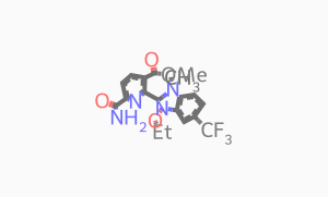 CCON1c2cc(C(F)(F)F)ccc2N(C)C1c1nc(C(N)=O)ccc1C(=O)OC